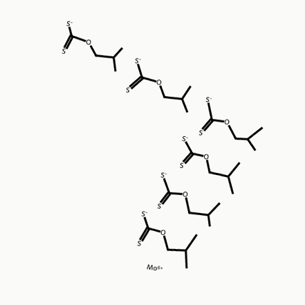 CC(C)COC(=S)[S-].CC(C)COC(=S)[S-].CC(C)COC(=S)[S-].CC(C)COC(=S)[S-].CC(C)COC(=S)[S-].CC(C)COC(=S)[S-].[Mo+6]